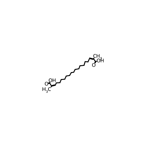 CC(=CCCCCCCCCCCCCCCC=C(C)C(=O)O)C(=O)O